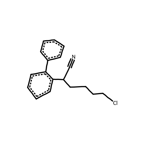 N#CC(CCCCCl)c1ccccc1-c1ccccc1